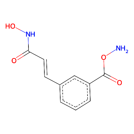 NOC(=O)c1cccc(C=CC(=O)NO)c1